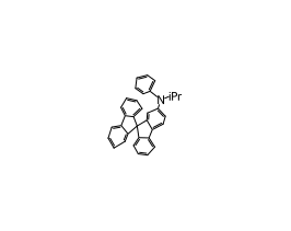 CC(C)N(c1ccccc1)c1ccc2c(c1)C1(c3ccccc3-c3ccccc31)c1ccccc1-2